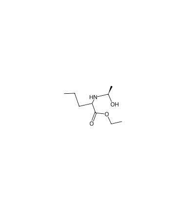 CCCC(N[C@@H](C)O)C(=O)OCC